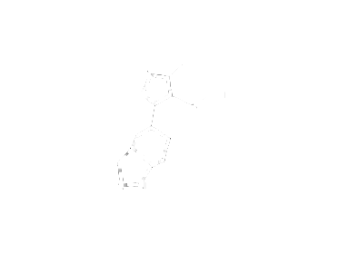 Cc1noc(-c2ccc3[nH]ncc3c2)c1NC(=O)O